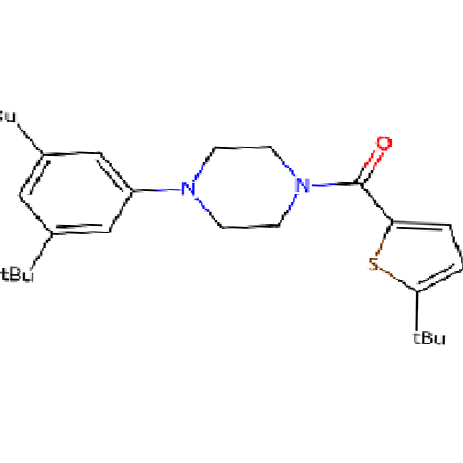 CC(C)(C)c1cc(N2CCN(C(=O)c3ccc(C(C)(C)C)s3)CC2)cc(C(C)(C)C)c1